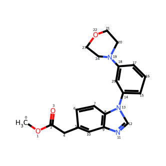 COC(=O)Cc1ccc2c(c1)ncn2-c1cccc(N2CCOCC2)c1